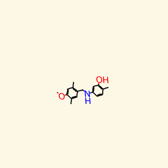 COc1cc(C)c(CNc2ccc(C)c(O)c2)cc1C